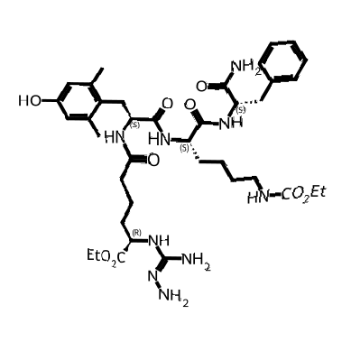 CCOC(=O)NCCCC[C@H](NC(=O)[C@H](Cc1c(C)cc(O)cc1C)NC(=O)CCC[C@@H](NC(N)=NN)C(=O)OCC)C(=O)N[C@@H](Cc1ccccc1)C(N)=O